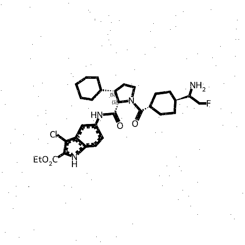 CCOC(=O)c1[nH]c2ccc(NC(=O)[C@@H]3[C@H](C4CCCCC4)CCN3C(=O)[C@H]3CC[C@H](C(N)CF)CC3)cc2c1Cl